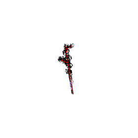 CCCCC/C=C/C/C=C/CCCCCCCCOC(=O)CCCCC(=O)OCC(COC(=O)CCCCC(=O)OCC(CCCC)CCCCCC)OC(=O)CCCN(C)C